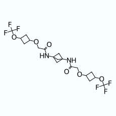 O=C(COC1CC(OC(F)(F)F)C1)NC12CC(NC(=O)COC3CC(OC(F)(F)F)C3)(C1)C2